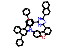 c1ccc(-c2ccc3c(c2)c2c4ccccc4c(-c4ccccc4)cc2n3-c2ccc3oc4cccc(-c5nc(-c6ccccc6)nc(-c6ccc7ccccc7c6)n5)c4c3c2)cc1